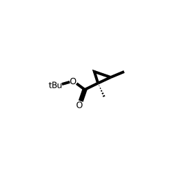 CC1C[C@]1(C)C(=O)OC(C)(C)C